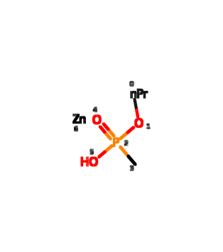 CCCOP(C)(=O)O.[Zn]